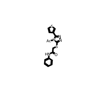 CC(=O)n1c(SCC(=O)Nc2ccccc2)nnc1-c1ccsc1